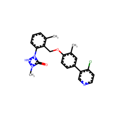 Cc1cc(-c2cnccc2Cl)ccc1OCc1c(C)cccc1-n1[nH]n(C)c1=O